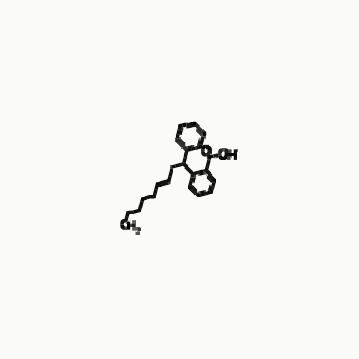 CCCCCC=CCC(c1ccccc1)c1ccccc1C(=O)O